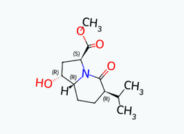 COC(=O)[C@@H]1C[C@@H](O)[C@H]2CC[C@H](C(C)C)C(=O)N21